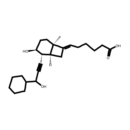 C[C@@]12CC[C@H](O)[C@@H](C#CC(O)C3CCCCC3)[C@@H]1CC2=CCCCCC(=O)O